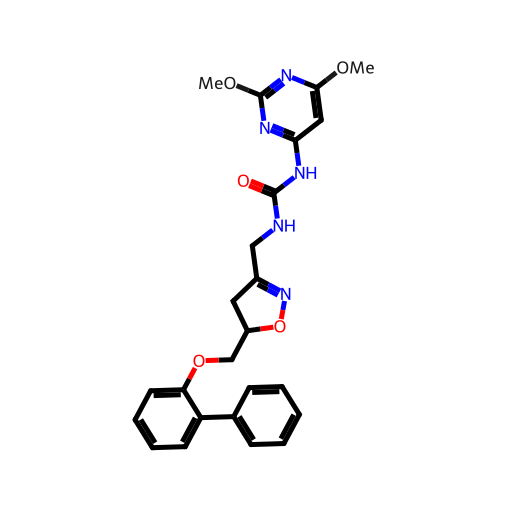 COc1cc(NC(=O)NCC2=NOC(COc3ccccc3-c3ccccc3)C2)nc(OC)n1